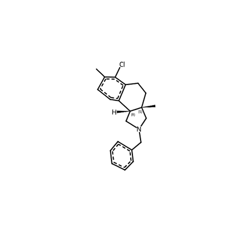 Cc1ccc2c(c1Cl)CC[C@]1(C)CN(Cc3ccccc3)C[C@H]21